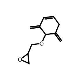 C=C1C=CCC(=C)C1OCC1CO1